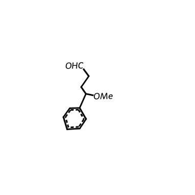 COC(CCC=O)c1ccccc1